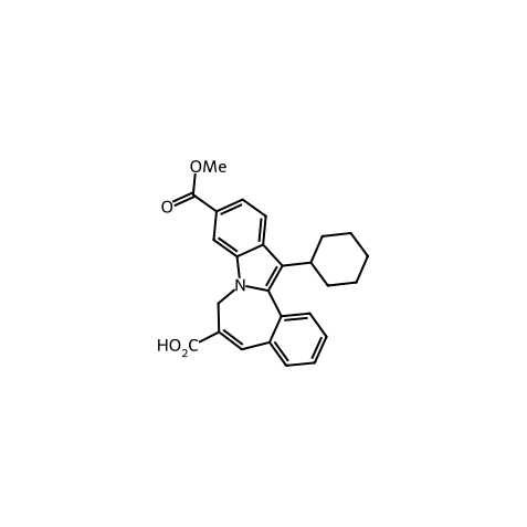 COC(=O)c1ccc2c(C3CCCCC3)c3n(c2c1)CC(C(=O)O)=Cc1ccccc1-3